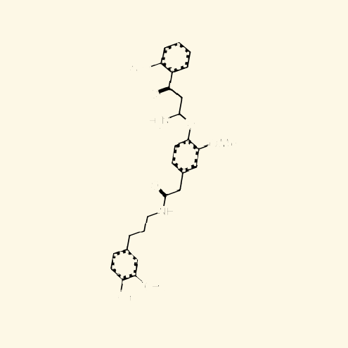 COc1cc(CC(=O)NCCCc2ccc(C)c(C)c2)ccc1OC(N)CC(=O)c1ccccc1OC(C)=O